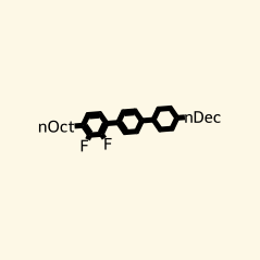 CCCCCCCCCCC1CCC(C2C=CC(c3ccc(CCCCCCCC)c(F)c3F)=CC2)CC1